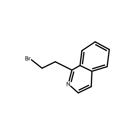 BrCCc1nccc2ccccc12